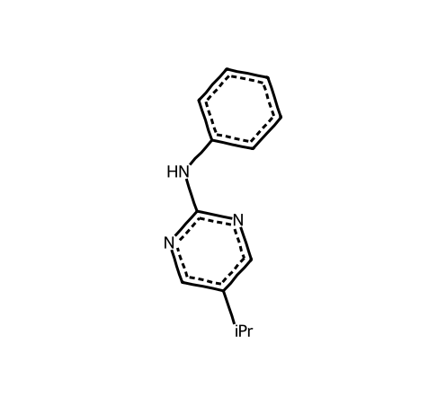 CC(C)c1cnc(Nc2ccccc2)nc1